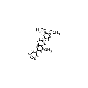 COc1ccc(-c2cnc3nc(N4CCOCC4)nc(N)c3n2)cc1OC